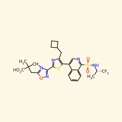 C[C@H](NS(=O)(=O)c1ncc(-c2sc(-c3noc(CC(C)(C)C(=O)O)n3)nc2CC2CCC2)c2ccccc12)C(F)(F)F